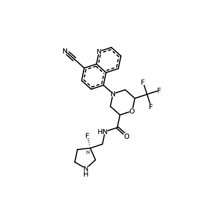 N#Cc1ccc(N2CC(C(=O)NC[C@]3(F)CCNC3)OC(C(F)(F)F)C2)c2cccnc12